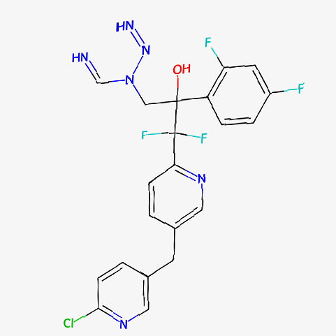 N=CN(CC(O)(c1ccc(F)cc1F)C(F)(F)c1ccc(Cc2ccc(Cl)nc2)cn1)N=N